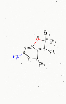 CC1=C2C(=CC(N)=CC2C)OC1(C)C